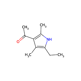 CCc1[nH]c(C)c(C(C)=O)c1C